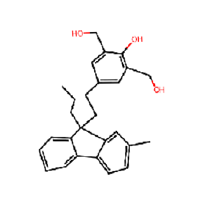 CCCC1(CCc2cc(CO)c(O)c(CO)c2)c2ccccc2-c2ccc(C)cc21